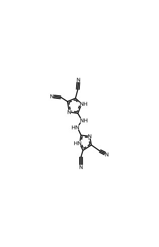 N#Cc1nc(NNc2nc(C#N)c(C#N)[nH]2)[nH]c1C#N